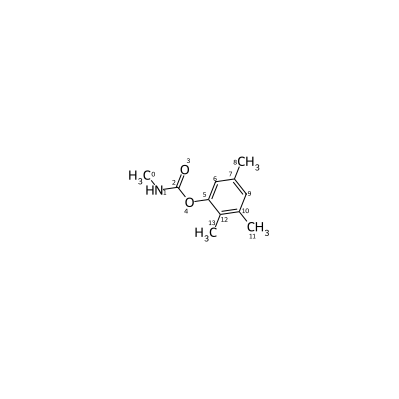 CNC(=O)Oc1cc(C)cc(C)c1C